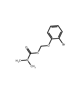 CN(C)C(=O)SCOc1ccccc1Br